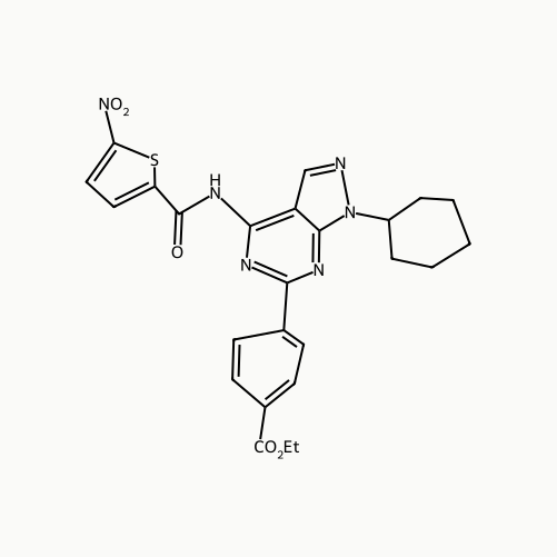 CCOC(=O)c1ccc(-c2nc(NC(=O)c3ccc([N+](=O)[O-])s3)c3cnn(C4CCCCC4)c3n2)cc1